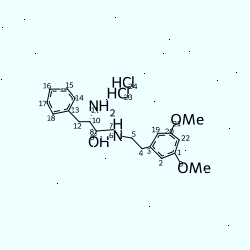 COc1cc(CCNC[C@@H](O)[C@@H](N)Cc2ccccc2)cc(OC)c1.Cl.Cl